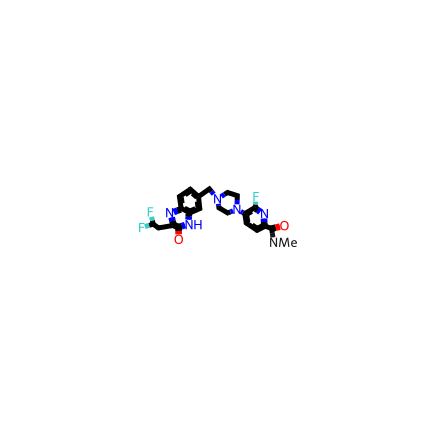 CNC(=O)c1ccc(N2CCN(Cc3ccc4nc(CC(F)F)c(=O)[nH]c4c3)CC2)c(F)n1